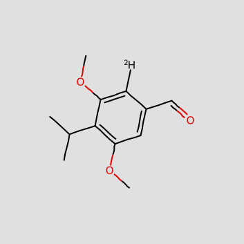 [2H]c1c(C=O)cc(OC)c(C(C)C)c1OC